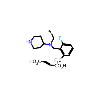 CC(C)CN(Cc1c(F)cccc1C(F)(F)F)C1CCNCC1.O=C(O)/C=C/C(=O)O